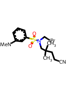 CNc1cccc(S(=O)(=O)N(CC(C)C)CC(C)(C)CCC#N)c1